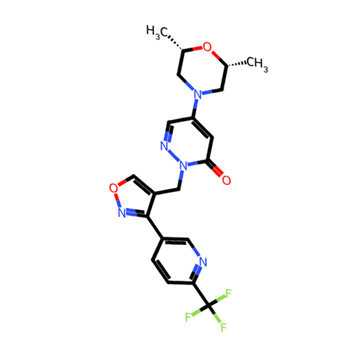 C[C@@H]1CN(c2cnn(Cc3conc3-c3ccc(C(F)(F)F)nc3)c(=O)c2)C[C@H](C)O1